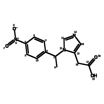 CC(c1ccc([N+](=O)[O-])cc1)n1cncc1CC(=O)O